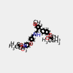 COc1ccc([C@@H]2CCc3cc(OC(=O)C(C)(C)C)ccc3C2)c(CCNCc2ccc(OC3CCN(C(=O)OC(C)(C)C)CC3)cc2)c1